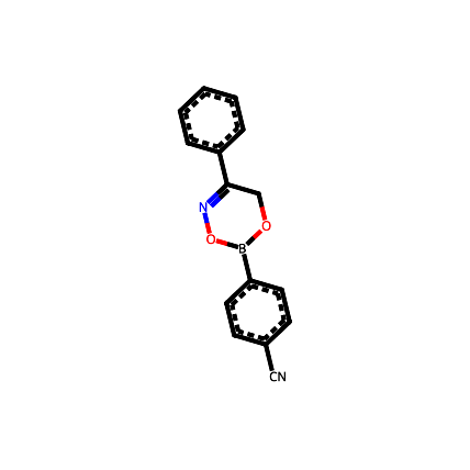 N#Cc1ccc(B2OCC(c3ccccc3)=NO2)cc1